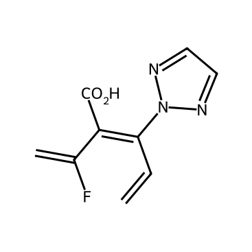 C=C/C(=C(\C(=C)F)C(=O)O)n1nccn1